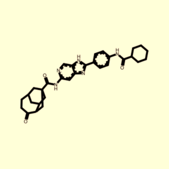 O=C(Nc1ccc(-c2nc3cc(NC(=O)C45CC6CCC(=O)C(C4)C(C6)C5)ncc3[nH]2)cc1)C1CCCCC1